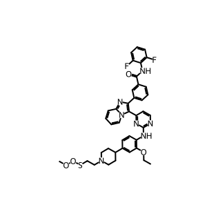 CCOc1cc(C2CCN(CCSOOC)CC2)ccc1Nc1nccc(-c2c(-c3cccc(C(=O)Nc4c(F)cccc4F)c3)nc3ccccn23)n1